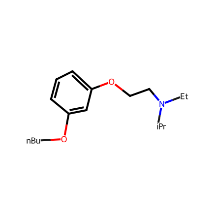 CCCCOc1cccc(OCCN(CC)C(C)C)c1